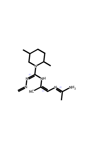 C=N/N=C(\N/C(C#N)=C\N=C(/C)N)N1CC(C)CCC1C